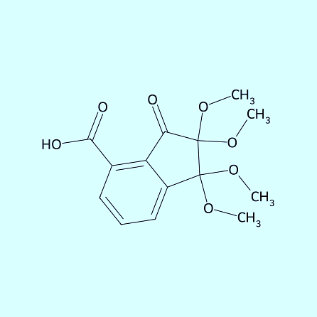 COC1(OC)C(=O)c2c(C(=O)O)cccc2C1(OC)OC